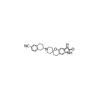 N#Cc1ccc2c(c1)CCC(N1CCC3(CCc4cc5[nH]c(=O)[nH]c5cc4O3)CC1)C2